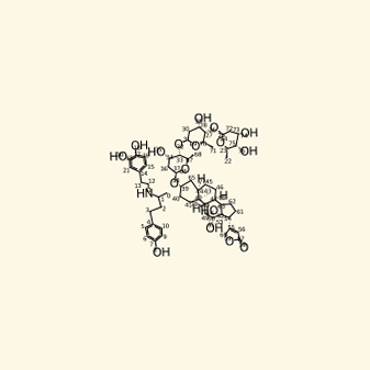 CC(CCc1ccc(O)cc1)NCCc1ccc(O)c(O)c1.C[C@H]1O[C@@H](O[C@H]2[C@@H](O)C[C@H](O[C@H]3[C@@H](O)C[C@H](O[C@H]4CC[C@@]5(C)[C@H](CC[C@@H]6[C@@H]5C[C@@H](O)[C@]5(C)[C@@H](C7=CC(=O)OC7)CC[C@]65O)C4)O[C@@H]3C)O[C@@H]2C)C[C@H](O)[C@@H]1O